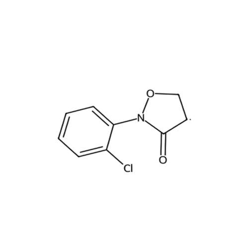 O=C1[CH]CON1c1ccccc1Cl